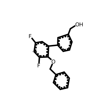 OCc1cccc(-c2cc(F)[c]c(F)c2OCc2ccccc2)c1